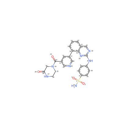 NS(=O)(=O)c1ccc(Nc2ncc3cccc(-c4cncc(C(=O)N5CCNC(=O)C5)c4)c3n2)cc1